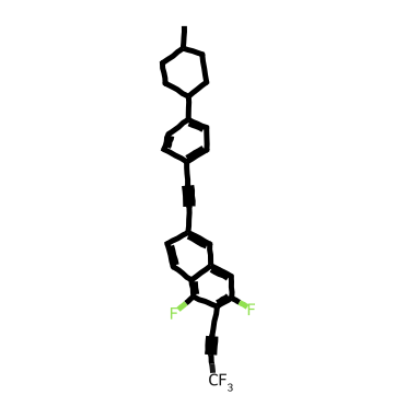 CC1CCC(c2ccc(C#Cc3ccc4c(F)c(C#CC(F)(F)F)c(F)cc4c3)cc2)CC1